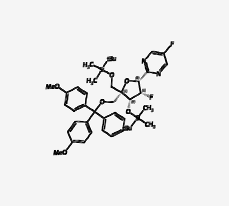 COc1ccc(C(OC[C@]2(CO[Si](C)(C)C(C)(C)C)O[C@H](c3ncc(F)cn3)[C@H](F)[C@@H]2O[Si](C)(C)C(C)(C)C)(c2ccccc2)c2ccc(OC)cc2)cc1